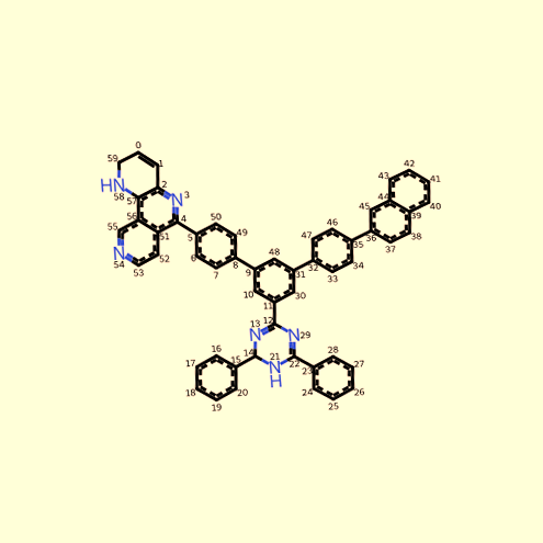 C1=Cc2nc(-c3ccc(-c4cc(C5=NC(c6ccccc6)NC(c6ccccc6)=N5)cc(-c5ccc(-c6ccc7ccccc7c6)cc5)c4)cc3)c3ccncc3c2NC1